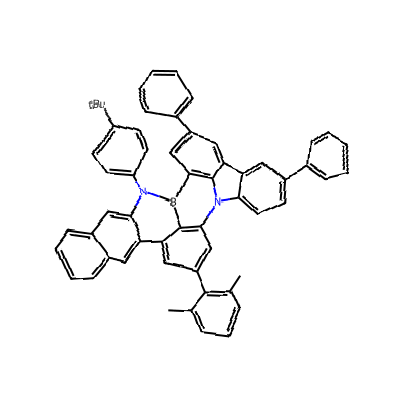 Cc1cccc(C)c1-c1cc2c3c(c1)-n1c4ccc(-c5ccccc5)cc4c4cc(-c5ccccc5)cc(c41)B3N(c1ccc(C(C)(C)C)cc1)c1cc3ccccc3cc1-2